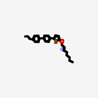 CCCCC/C=C/COc1ccc(-c2ccc(-c3ccc(CCC)cc3)cc2)s1